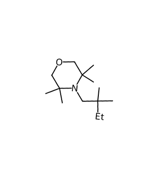 CCC(C)(C)CN1C(C)(C)COCC1(C)C